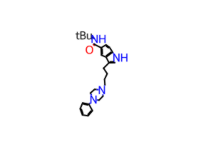 CC(C)(C)NC(=O)c1ccc2[nH]cc(CCCCN3CCN(c4ccccc4)CC3)c2c1